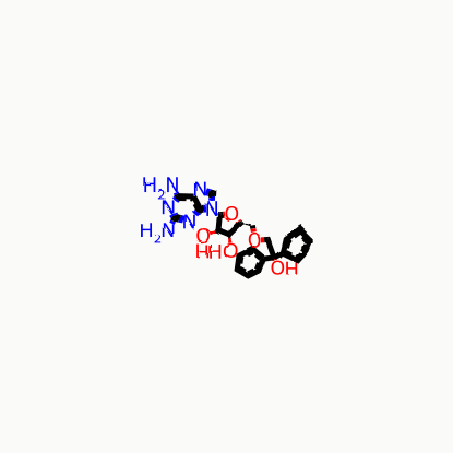 Nc1nc(N)c2ncn([C@@H]3O[C@H](COCC(O)(c4ccccc4)c4ccccc4)[C@@H](O)[C@H]3O)c2n1